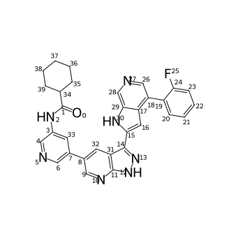 O=C(Nc1cncc(-c2cnc3[nH]nc(-c4cc5c(-c6ccccc6F)cncc5[nH]4)c3c2)c1)C1CCCCC1